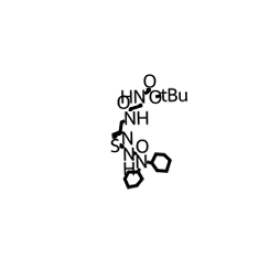 CC(C)(C)OC(=O)NCC(=O)NCc1csc(NC(=O)N(C2CCCCC2)C2CCCCC2)n1